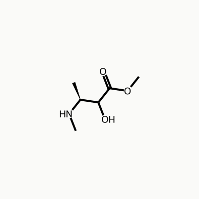 CN[C@@H](C)C(O)C(=O)OC